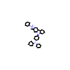 c1ccc(N(c2ccccc2)c2ccc(-n3c4ccccc4c4cc5nn(-c6ccccc6)cc5cc43)cc2)cc1